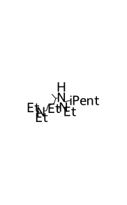 CCCC(C)C(NC(C)CCCN(CC)CC)N(CC)CC